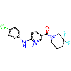 O=C(c1ccc(Nc2ccc(Cl)cc2)nc1)N1CCCC(F)(F)C1